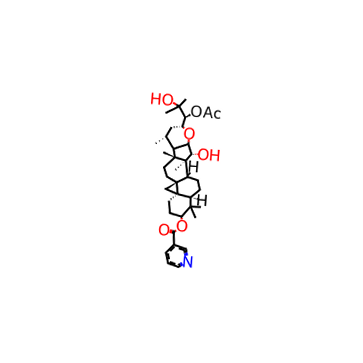 CC(=O)O[C@@H]([C@H]1C[C@@H](C)C2C(O1)[C@H](O)[C@@]1(C)[C@@H]3CC[C@H]4C(C)(C)[C@@H](OC(=O)c5cccnc5)CC[C@@]45C[C@@]35CC[C@]21C)C(C)(C)O